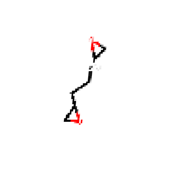 C1CO1.CCCCCCC1CO1